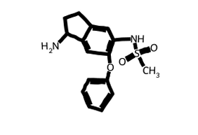 CS(=O)(=O)Nc1cc2c(cc1Oc1ccccc1)C(N)CC2